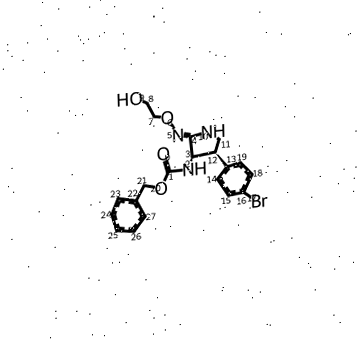 O=C(N[C@@H]1/C(=N/OCCO)NC[C@H]1c1ccc(Br)cc1)OCc1ccccc1